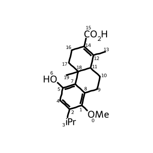 COc1c(C(C)C)cc(O)c2c1CCC1C(C)=C(C(=O)O)CCC21C